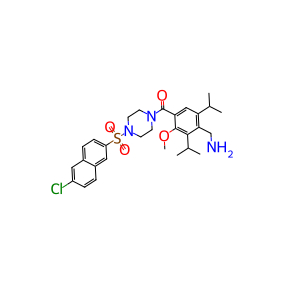 COc1c(C(=O)N2CCN(S(=O)(=O)c3ccc4cc(Cl)ccc4c3)CC2)cc(C(C)C)c(CN)c1C(C)C